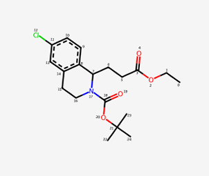 CCOC(=O)CCC1c2ccc(Cl)cc2CCN1C(=O)OC(C)(C)C